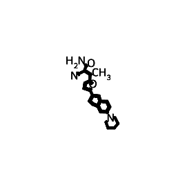 C/C(=C(/C#N)C(N)=O)c1ccc(-c2ccc3cc(N4CCCCC4)ccc3c2)o1